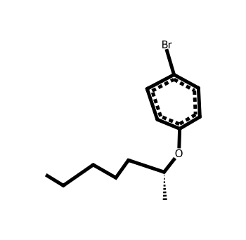 CCCCC[C@@H](C)Oc1ccc(Br)cc1